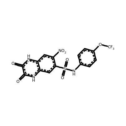 O=c1[nH]c2cc([N+](=O)[O-])c(S(=O)(=O)Nc3ccc(OC(F)(F)F)cc3)cc2[nH]c1=O